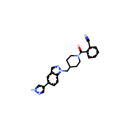 N#Cc1ccccc1C(=O)N1CCC(Cn2ncc3cc(-c4cn[nH]c4)ccc32)CC1